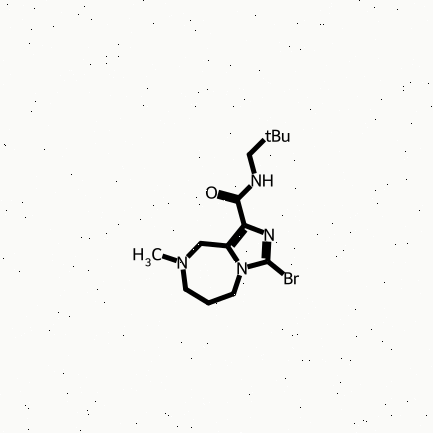 CN1CCCn2c(Br)nc(C(=O)NCC(C)(C)C)c2C1